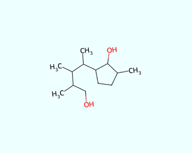 CC(CO)C(C)C(C)C1CCC(C)C1O